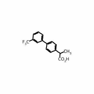 CC(C(=O)O)c1ccc(-c2cccc(C(F)(F)F)c2)cc1